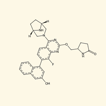 O=C1CCC(COc2nc(N3C[C@H]4CC[C@@H](C3)N4)c3ccc(-c4cc(O)cc5ccccc45)c(F)c3n2)N1